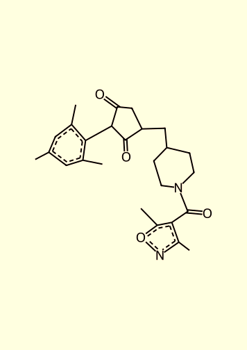 Cc1cc(C)c(C2C(=O)CC(CC3CCN(C(=O)c4c(C)noc4C)CC3)C2=O)c(C)c1